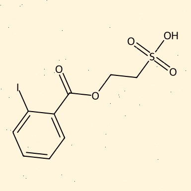 O=C(OCCS(=O)(=O)O)c1ccccc1I